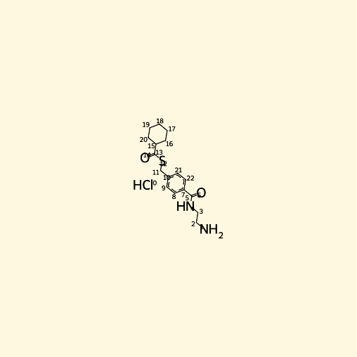 Cl.NCCNC(=O)c1ccc(CSC(=O)C2CCCCC2)cc1